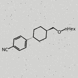 CCCCCCOC[C@H]1CC[C@H](c2ccc(C#N)cc2)CC1